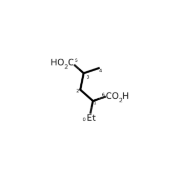 CCC(CC(C)C(=O)O)C(=O)O